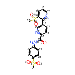 CS(=O)(=O)c1ccc(NC(=O)c2ccc(-c3ncccc3S(C)(=O)=O)cn2)cc1